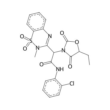 CCC1OC(=O)N(C(C(=O)Nc2ccccc2Cl)C2=Nc3ccccc3S(=O)(=O)N2C)C1=O